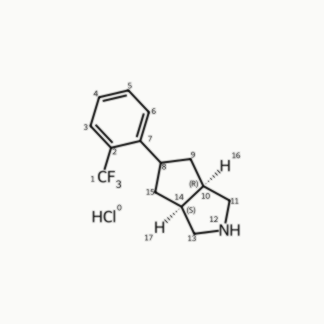 Cl.FC(F)(F)c1ccccc1C1C[C@H]2CNC[C@H]2C1